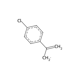 [CH2]C(=C)c1ccc(Cl)cc1